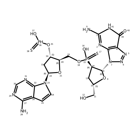 Nc1nc2c(nnn2[C@@H]2O[C@H](CO)C[C@H]2P(O)(=S)OC[C@H]2O[C@@H](n3ccc4c(N)ncnc43)C[C@@H]2O[PH](O)=S)c(=O)[nH]1